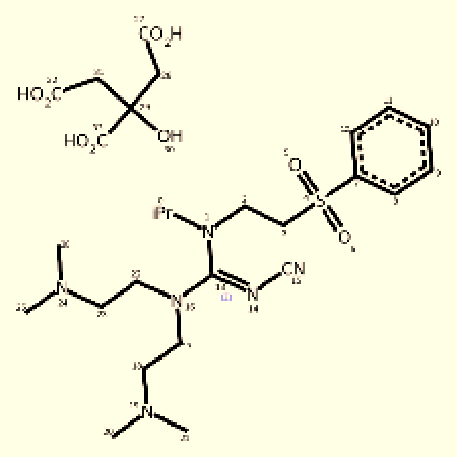 CC(C)N(CCS(=O)(=O)c1ccccc1)/C(=N\C#N)N(CCN(C)C)CCN(C)C.O=C(O)CC(O)(CC(=O)O)C(=O)O